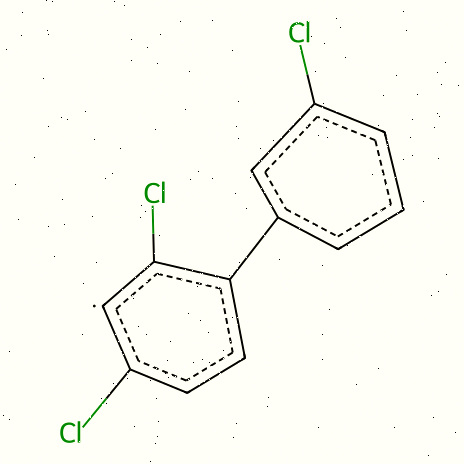 Clc1[c]c(Cl)c(-c2cccc(Cl)c2)cc1